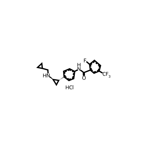 Cl.O=C(Nc1ccc([C@@H]2C[C@H]2NCC2CC2)cc1)c1cc(C(F)(F)F)ccc1F